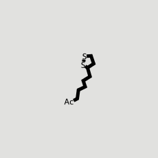 CC(=O)CCCCCC1CCSS1